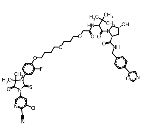 CC(C)(C)[C@H](NC(=O)COCCCOCCCCOc1ccc(N2C(=S)N(c3cnc(C#N)c(Cl)c3)C(=O)C2(C)C)cc1F)C(=O)N1C[C@H](O)C[C@H]1C(=O)NCc1ccc(-c2cnco2)cc1